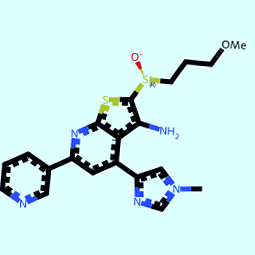 COCCC[S@+]([O-])c1sc2nc(-c3cccnc3)cc(-c3cn(C)cn3)c2c1N